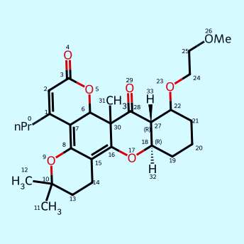 CCCC1=CC(=O)OC2C1=C1OC(C)(C)CCC1=C1O[C@@H]3CCCC(OCCOC)[C@H]3C(=O)C12C